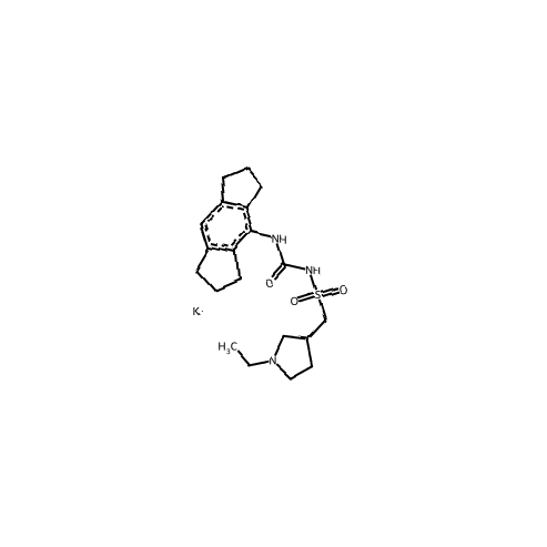 CCN1CCC(CS(=O)(=O)NC(=O)Nc2c3c(cc4c2CCC4)CCC3)C1.[K]